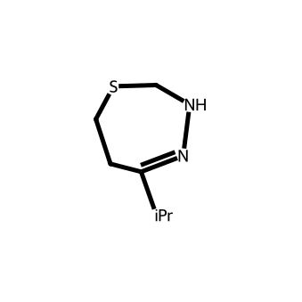 CC(C)C1=NNCSCC1